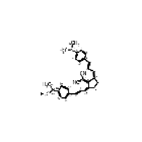 CN(C)c1ccc(C=CC=C2CCC(=CC=Cc3ccc(N(C)C)cc3)C2=C(C#N)C#N)cc1